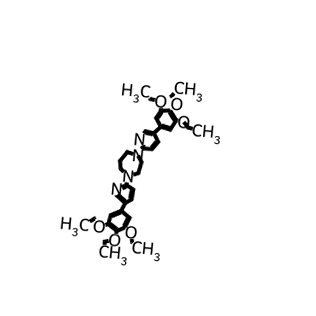 CCOc1cc(-c2ccc(N3CCCN(c4ccc(-c5cc(OCC)c(OCC)c(OCC)c5)cn4)CC3)nc2)cc(OCC)c1OCC